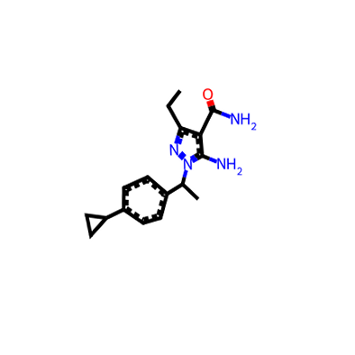 CCc1nn(C(C)c2ccc(C3CC3)cc2)c(N)c1C(N)=O